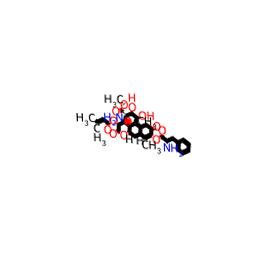 COC(=O)[C@@]12OC[C@]34C([C@@H](O)[C@@H]1O)[C@@]1(C)CC(=O)C(OC(=O)[C@@H](N)Cc5ccccc5)=C(C)[C@@H]1C[C@H]3OC(=O)[C@H](OC(=O)C=C(C)C)[C@@]24N